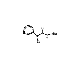 [CH2]CN(C(=O)NCCCC)c1ccccc1